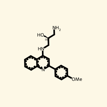 COc1ccc(-c2cc(NC[C@@H](O)CN)c3ccccc3n2)cc1